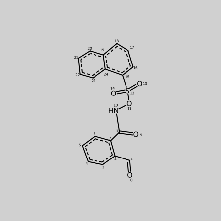 O=Cc1ccccc1C(=O)NOS(=O)(=O)c1cccc2ccccc12